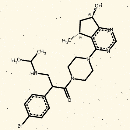 CC(C)NCC(C(=O)N1CCN(c2ncnc3c2[C@H](C)C[C@H]3O)CC1)c1ccc(Br)cc1